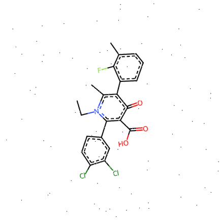 CCn1c(C)c(-c2cccc(C)c2F)c(=O)c(C(=O)O)c1-c1ccc(Cl)c(Cl)c1